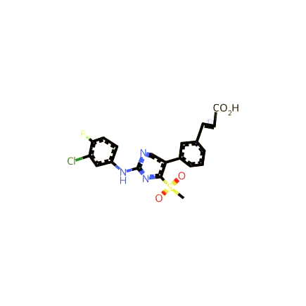 CS(=O)(=O)c1nc(Nc2ccc(F)c(Cl)c2)ncc1-c1cccc(/C=C/C(=O)O)c1